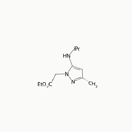 CCOC(=O)Cn1nc(C)cc1NC(C)C